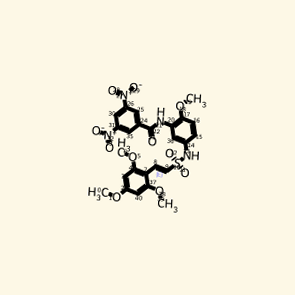 COc1cc(OC)c(/C=C/S(=O)(=O)Nc2ccc(OC)c(NC(=O)c3cc([N+](=O)[O-])cc([N+](=O)[O-])c3)c2)c(OC)c1